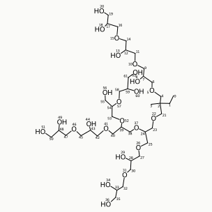 CCC(C)(COCC(O)COCC(O)COCC(O)CO)COCC(COCC(O)COCC(O)CO)OCC(COCC(O)COCC(O)CO)OCC(CO)OCC(O)CO